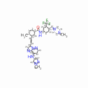 Cc1ccc(C(=O)Nc2ccc(CN3CCN(C)CC3)c(C(F)(F)F)c2)cc1C#Cc1cnc2c(Nc3cnn(C)c3)ccnn12